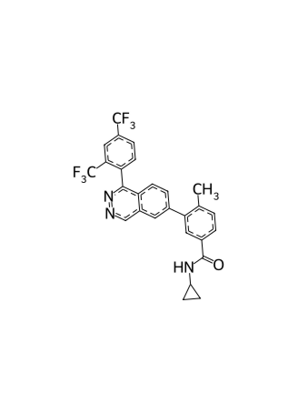 Cc1ccc(C(=O)NC2CC2)cc1-c1ccc2c(-c3ccc(C(F)(F)F)cc3C(F)(F)F)nncc2c1